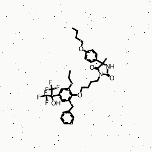 CCCCOc1ccc(C2(C)NC(=O)N(CCCCOc3c(CCC)cc(C(O)(C(F)(F)F)C(F)(F)F)cc3Cc3ccccc3)C2=O)cc1